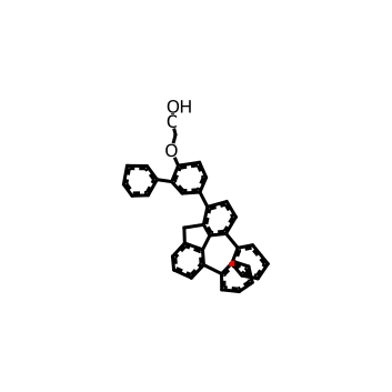 OCCOc1ccc(-c2ccc(-c3ccccc3)c3c2Cc2cccc(-c4ccccc4)c2-3)cc1-c1ccccc1